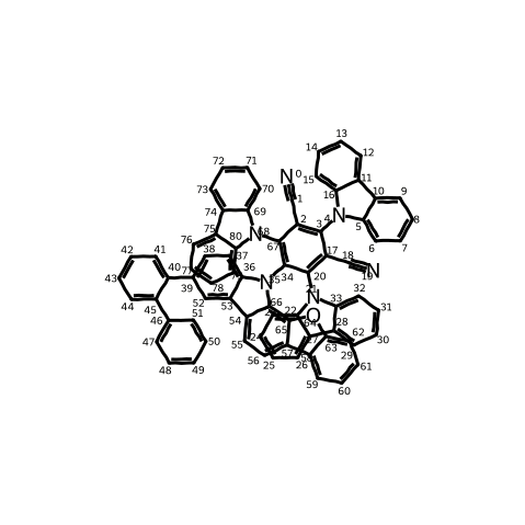 N#Cc1c(-n2c3ccccc3c3ccccc32)c(C#N)c(-n2c3ccccc3c3ccccc32)c(-n2c3ccc(-c4ccccc4-c4ccccc4)cc3c3ccc4c5ccccc5oc4c32)c1-n1c2ccccc2c2ccccc21